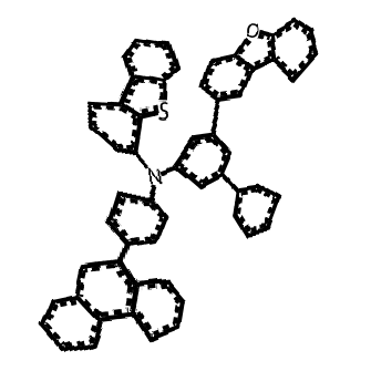 c1ccc(-c2cc(-c3ccc4oc5ccccc5c4c3)cc(N(c3ccc(-c4cc5ccccc5c5ccccc45)cc3)c3cccc4c3sc3ccccc34)c2)cc1